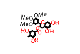 COc1cc(C2=C(OC(=O)c3cc(O)c(C)c(O)c3)Cc3c(O)cc(O)cc3O2)cc(OC)c1OC